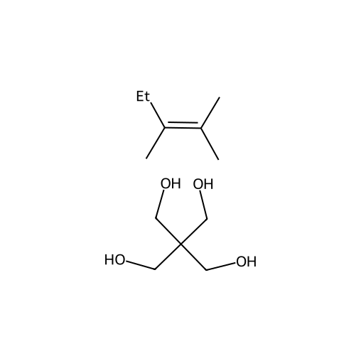 CCC(C)=C(C)C.OCC(CO)(CO)CO